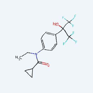 CCN(C(=O)C1CC1)c1ccc(C(O)(C(F)(F)F)C(F)(F)F)cc1